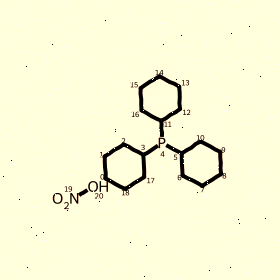 C1CCC(P(C2CCCCC2)C2CCCCC2)CC1.O=[N+]([O-])O